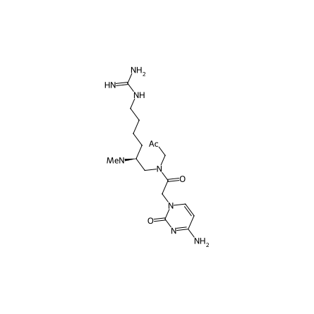 CN[C@@H](CCCCNC(=N)N)CN(CC(C)=O)C(=O)Cn1ccc(N)nc1=O